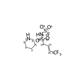 C1CCNCC1.O=S(=O)(F)NS(=O)(=O)CC=CC(F)(F)F